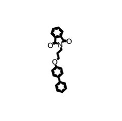 O=C1c2ccccc2C(=O)N1CCCOc1ccc(-c2ccccc2)cc1